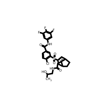 CC(O)CNC(=O)CC1(O)C2CCC1CC(S(=O)(=O)c1cc(C(=O)Nc3cc(F)c(F)c(F)c3)ccc1Cl)C2